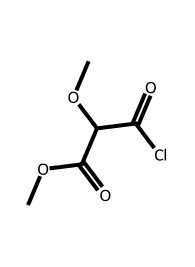 COC(=O)C(OC)C(=O)Cl